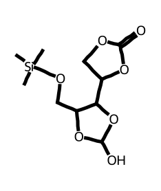 C[Si](C)(C)OCC1OC(O)OC1C1COC(=O)O1